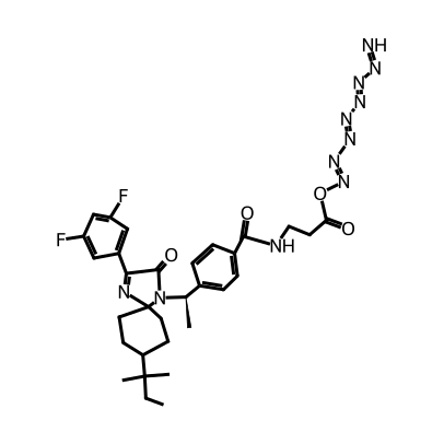 CCC(C)(C)C1CCC2(CC1)N=C(c1cc(F)cc(F)c1)C(=O)N2[C@H](C)c1ccc(C(=O)NCCC(=O)ON=NN=NN=NN=N)cc1